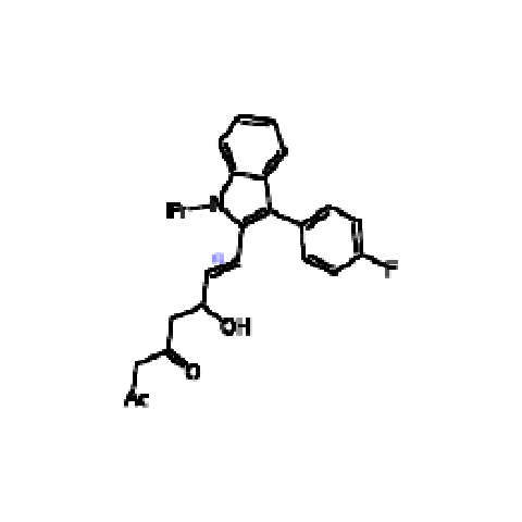 CC(=O)CC(=O)CC(O)/C=C/c1c(-c2ccc(F)cc2)c2ccccc2n1C(C)C